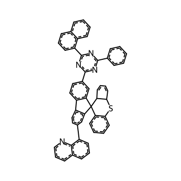 C1=CC2Sc3ccccc3C3(c4cc(-c5nc(-c6ccccc6)nc(-c6cccc7ccccc67)n5)ccc4-c4ccc(-c5cccc6cccnc56)cc43)C2C=C1